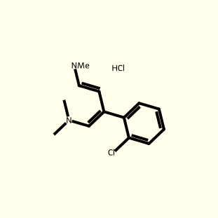 CNC=CC(=CN(C)C)c1ccccc1Cl.Cl